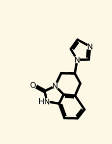 O=c1[nH]c2cccc3c2n1CC(n1ccnc1)C3